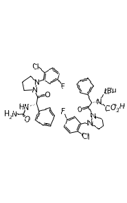 CC(C)(C)N(C(=O)O)[C@H](C(=O)N1CCCN1c1cc(F)ccc1Cl)c1ccccc1.NC(=O)N[C@H](C(=O)N1CCCN1c1cc(F)ccc1Cl)c1ccccc1